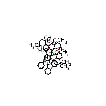 Cc1ccc2c(c1N(c1cc3c(cc1-c1ccc4c(c1)C(C)(C)CCC4(C)C)-c1ccccc1C31c3ccccc3-c3ccccc31)c1c(C)ccc3c1C(C)(C)CCC3(C)C)C(C)(C)CCC2(C)C